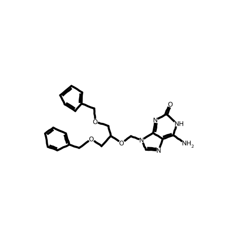 Nc1[nH]c(=O)nc2c1ncn2COC(COCc1ccccc1)COCc1ccccc1